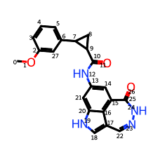 COc1cccc(C2CC2C(=O)Nc2cc3c4c(c[nH]c4c2)C=NNC3=O)c1